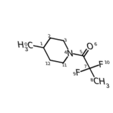 CC1CCN(C(=O)C(C)(F)F)CC1